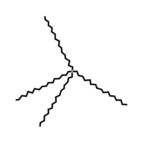 CCCCCCCCCCCCCCCCC[N+](CCCCCCCCCCCCCCCCC)(CCCCCCCCCCCCCCCCC)CCCCCCCCCCCCCCCCC